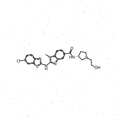 Cn1c(Nc2nc3ccc(Cl)cc3s2)nc2cc(C(=O)N[C@@H]3CCN(CCO)C3)ccc21